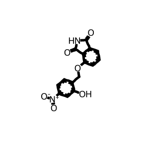 O=C1NC(=O)c2c(OCc3ccc([N+](=O)[O-])cc3O)cccc21